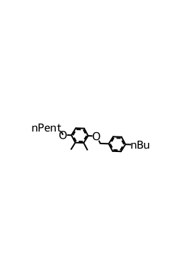 CCCCCOc1ccc(OCc2ccc(CCCC)cc2)c(C)c1C